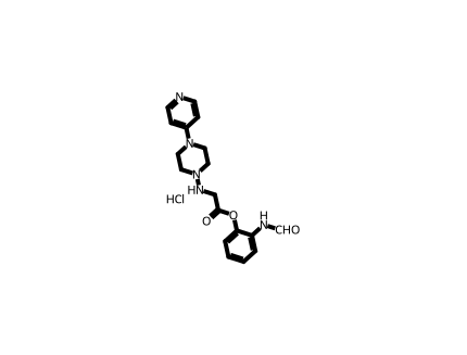 Cl.O=CNc1ccccc1OC(=O)CNN1CCN(c2ccncc2)CC1